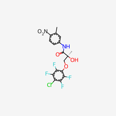 Cc1cc(NC(=O)[C@@](C)(O)COc2c(F)c(F)c(Cl)c(F)c2F)ccc1[N+](=O)[O-]